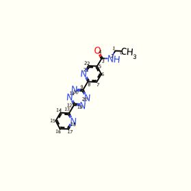 CCNC(=O)c1ccc(-c2nnc(-c3ccccn3)nn2)nc1